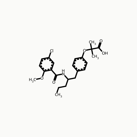 CCCC(Cc1ccc(OC(C)(C)C(=O)O)cc1)NC(=O)c1cc(Cl)ccc1OC